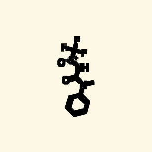 CN(C(=O)N[S+]([O-])C(F)(F)F)c1ccccc1